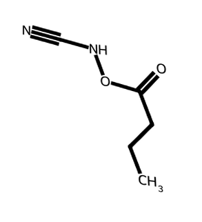 CCCC(=O)ONC#N